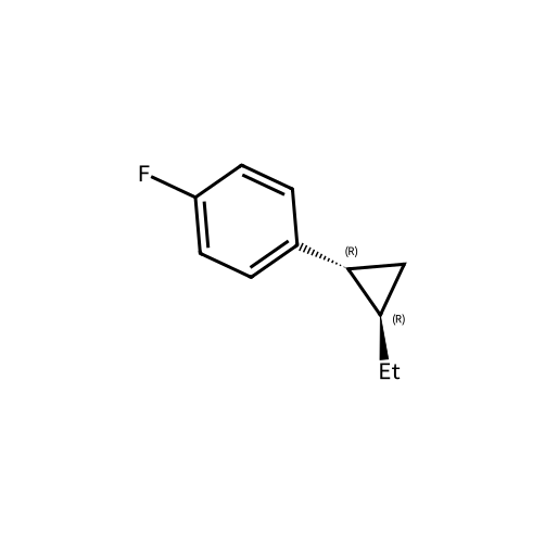 CC[C@@H]1C[C@H]1c1ccc(F)cc1